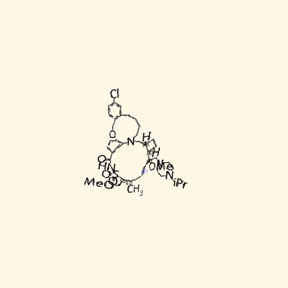 COC[C@@H]1[C@@H](C)C/C=C/[C@](CN2CCN(C(C)C)CC2)(OC)[C@@H]2CC[C@H]2CN2CCCCc3cc(Cl)ccc3COc3ccc(cc32)C(=O)NS1(=O)=O